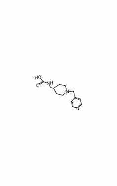 O=C(O)NCC1CCN(Cc2ccncc2)CC1